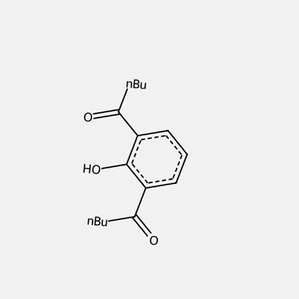 CCCCC(=O)c1cccc(C(=O)CCCC)c1O